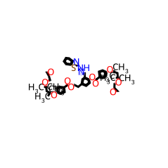 CC(C)(CC(C)(C)Oc1ccc(C(=O)OCCc2ccc(OC(=O)c3ccc(OC(C)(C)CC(C)(C)OCC4CO4)cc3)c(/C=N/Nc3nc4ccccc4s3)c2)cc1)OCC1CO1